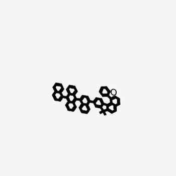 CC1(C)c2cc(-c3ccc(-c4c5ccccc5c(-c5cccc6ccccc56)c5ccccc45)c4ccccc34)ccc2-c2c1ccc1ccc3oc4ccccc4c3c21